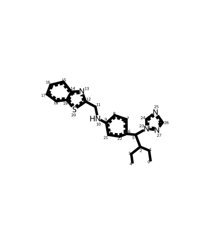 CCC(CC)C(c1ccc(NCc2nc3ccccc3s2)cc1)n1cncn1